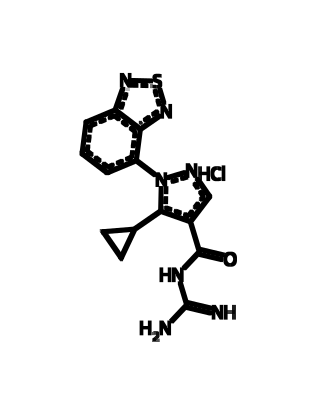 Cl.N=C(N)NC(=O)c1cnn(-c2cccc3nsnc23)c1C1CC1